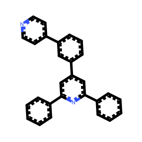 c1ccc(-c2cc(-c3cccc(-c4ccncc4)c3)cc(-c3ccccc3)n2)cc1